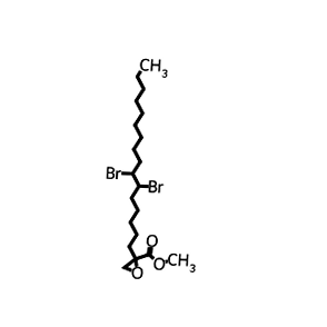 CCCCCCCCCC(Br)C(Br)CCCCCC1(C(=O)OC)CO1